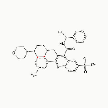 CC(C)S(=O)(=O)c1ccc2nc(-c3cccc(C(F)(F)F)c3)c(CN3CCC(N4CCOCC4)CC3)c(C(=O)NC(c3ccccc3)C(F)(F)F)c2c1